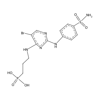 NS(=O)(=O)c1ccc(Nc2ncc(Br)c(NCCCP(=O)(O)O)n2)cc1